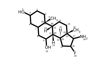 C[C@]12CCC(O)CC1CC(O)[C@@H]1[C@H]2CC[C@]2(C)C(N)C(F)C[C@@H]12